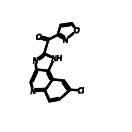 O=C(c1ccon1)c1nc2cnc3ccc(Cl)cc3c2[nH]1